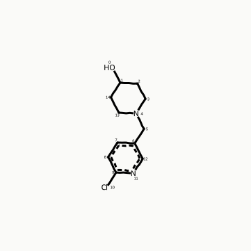 OC1CCN(Cc2ccc(Cl)nc2)CC1